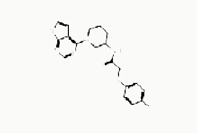 O=C(CNc1ccc(F)cc1)NC1CCCN(c2ncnc3[nH]ccc23)C1